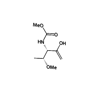 C=C(O)[C@@H](NC(=O)OC)[C@@H](C)OC